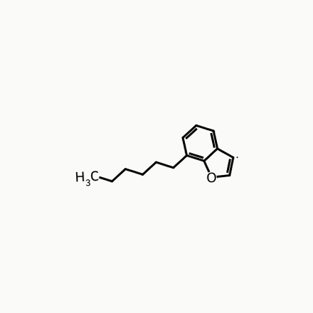 CCCCCCc1cccc2[c]coc12